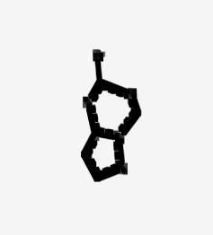 Brc1ncn2nccc2n1